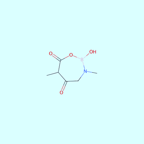 CC1C(=O)CN(C)B(O)OC1=O